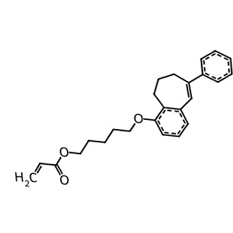 C=CC(=O)OCCCCCOc1cccc2c1CCCC(c1ccccc1)=C2